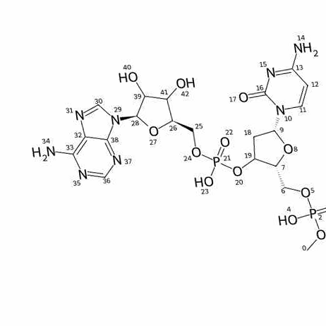 COP(=O)(O)OC[C@H]1O[C@@H](n2ccc(N)nc2=O)CC1OP(=O)(O)OC[C@H]1O[C@@H](n2cnc3c(N)ncnc32)C(O)C1O